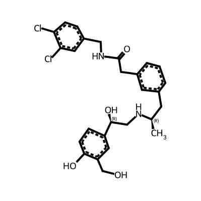 C[C@H](Cc1cccc(CC(=O)NCc2ccc(Cl)c(Cl)c2)c1)NC[C@H](O)c1ccc(O)c(CO)c1